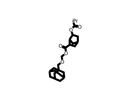 CC(C)C(=O)OC1CC2CC(C(=O)OCOCC34CC5CC(CC(C5)C3)C4)C1C2